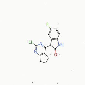 O=C1Nc2ccc(F)cc2C1c1nc(Cl)nc2c1CCC2